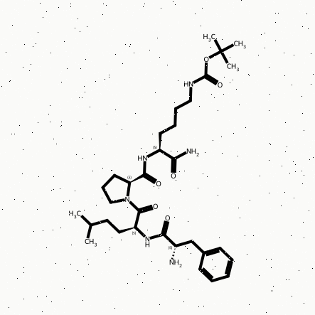 CC(C)CC[C@H](NC(=O)[C@@H](N)Cc1ccccc1)C(=O)N1CCC[C@H]1C(=O)N[C@@H](CCCCNC(=O)OC(C)(C)C)C(N)=O